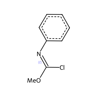 CO/C(Cl)=N/c1ccccc1